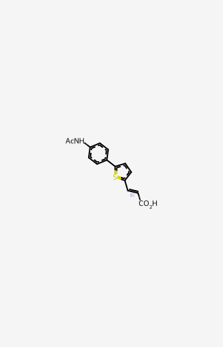 CC(=O)Nc1ccc(-c2ccc(/C=C/C(=O)O)s2)cc1